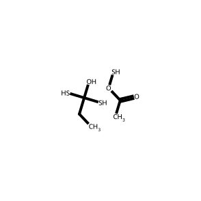 CC(=O)OS.CCC(O)(S)S